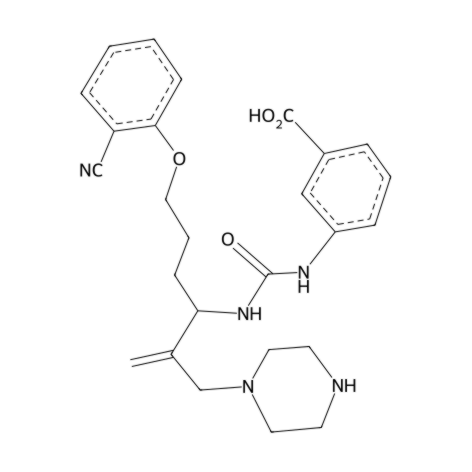 C=C(CN1CCNCC1)C(CCCOc1ccccc1C#N)NC(=O)Nc1cccc(C(=O)O)c1